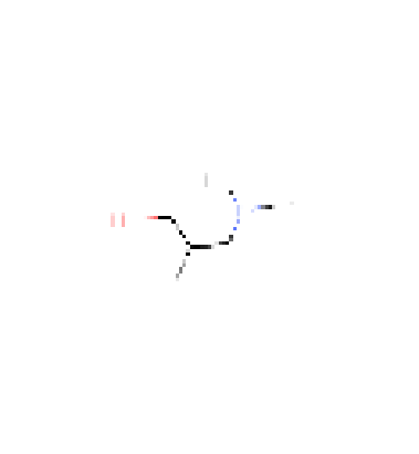 CC(CO)CN(C(C)(C)C)C(C)(C)C